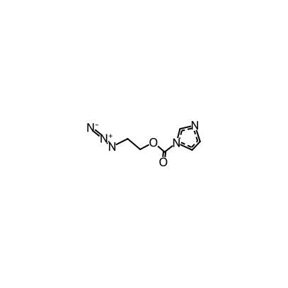 [N-]=[N+]=NCCOC(=O)n1ccnc1